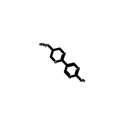 CCCCCCCC1CN=C(c2cnc(CCC)nc2)OC1